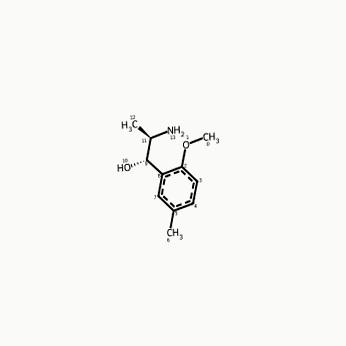 COc1ccc(C)cc1[C@H](O)[C@@H](C)N